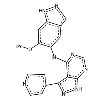 CC(C)Oc1cc2[nH]ncc2cc1Nc1ncnc2[nH]nc(-c3ccncc3)c12